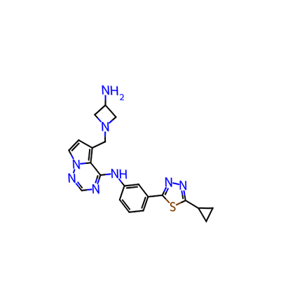 NC1CN(Cc2ccn3ncnc(Nc4cccc(-c5nnc(C6CC6)s5)c4)c23)C1